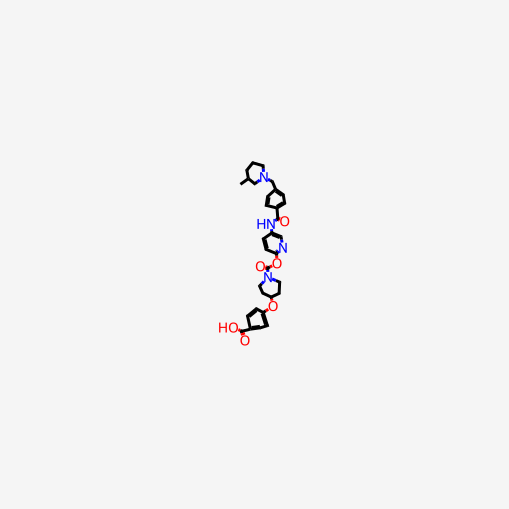 CC1CCCN(Cc2ccc(C(=O)Nc3ccc(OC(=O)N4CCC(Oc5ccc(C(=O)O)cc5)CC4)nc3)cc2)C1